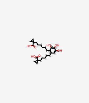 O=C(O)C1(CCCCCCc2c(CCCCCC3(C(=O)O)CC3)cc(O)c(O)c2O)CC1